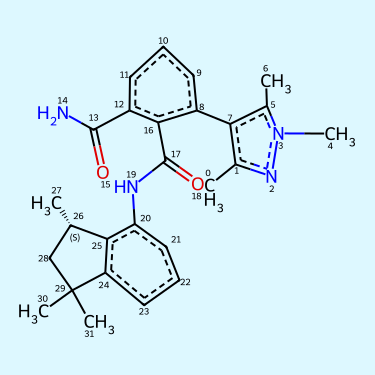 Cc1nn(C)c(C)c1-c1cccc(C(N)=O)c1C(=O)Nc1cccc2c1[C@@H](C)CC2(C)C